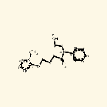 Cn1nnnc1SCCCC(=O)N(CCO)c1ccccc1